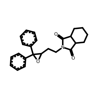 O=C1C2CCCCC2C(=O)N1CCC1OC1(c1ccccc1)c1ccccc1